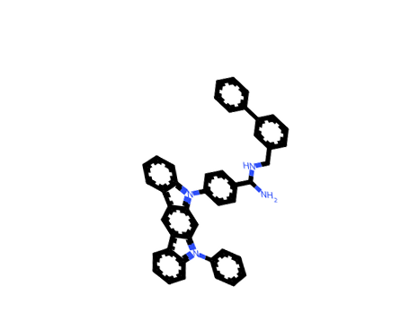 NC(NCc1cccc(-c2ccccc2)c1)c1ccc(-n2c3ccccc3c3cc4c5ccccc5n(-c5ccccc5)c4cc32)cc1